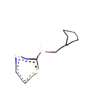 c1csc(OC[C]2CCC2)n1